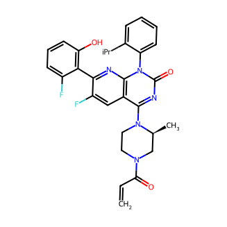 C=CC(=O)N1CCN(c2nc(=O)n(-c3ccccc3C(C)C)c3nc(-c4c(O)cccc4F)c(F)cc23)[C@@H](C)C1